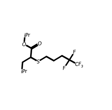 CC(C)CC(SCCCC(F)(F)C(F)(F)F)C(=O)OC(C)C